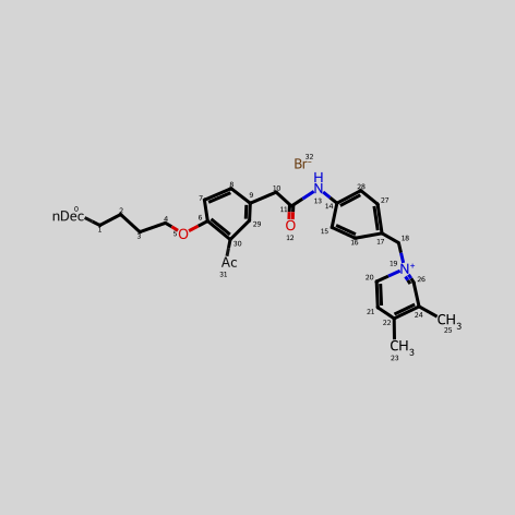 CCCCCCCCCCCCCCOc1ccc(CC(=O)Nc2ccc(C[n+]3ccc(C)c(C)c3)cc2)cc1C(C)=O.[Br-]